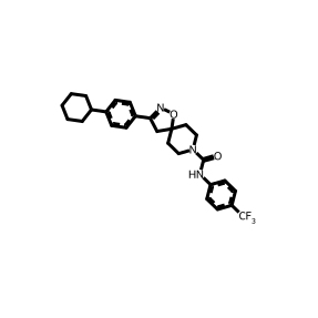 O=C(Nc1ccc(C(F)(F)F)cc1)N1CCC2(CC1)CC(c1ccc(C3CCCCC3)cc1)=NO2